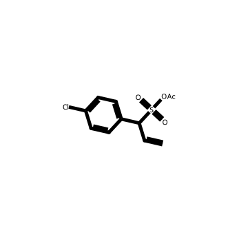 C=CC(c1ccc(Cl)cc1)S(=O)(=O)OC(C)=O